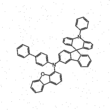 c1ccc(-c2ccc(N(c3ccc4c(c3)-c3ccccc3C43c4ccccc4N(c4ccccc4)c4ccccc43)c3cccc4c3oc3ccccc34)cc2)cc1